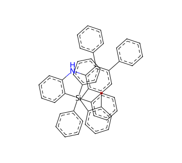 c1ccc(-c2cc3c(c(Nc4ccccc4[Si](c4ccccc4)(c4ccccc4)c4ccccc4)c2-c2ccccc2)Cc2ccccc2-3)cc1